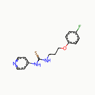 Fc1ccc(OCCCNC(=S)Nc2ccncc2)cc1